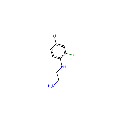 NCCNc1ccc(Cl)cc1F